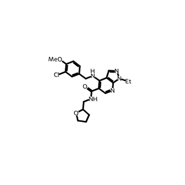 CCn1ncc2c(NCc3ccc(OC)c(Cl)c3)c(C(=O)NCC3CCCO3)cnc21